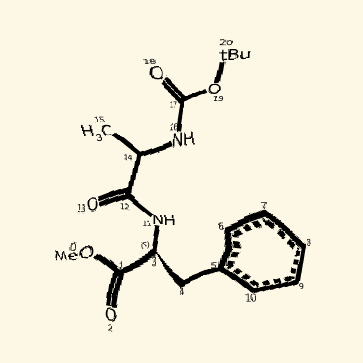 COC(=O)[C@H](Cc1ccccc1)NC(=O)C(C)NC(=O)OC(C)(C)C